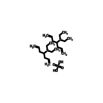 C=CCC(CC=C)N(CC)CC.C=CCC(CC=C)N(CC)CC.O=S(=O)(O)O